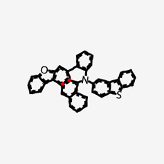 c1ccc(N(c2ccc3sc4ccccc4c3c2)c2cccc3ccccc23)c(-c2ccc3c(c2)oc2ccccc23)c1